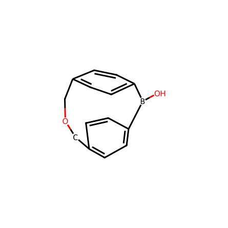 OB1c2ccc(cc2)COCc2ccc1cc2